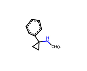 O=[C]NC1(c2ccccc2)CC1